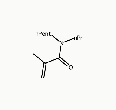 C=C(C)C(=O)N(CCC)CCCCC